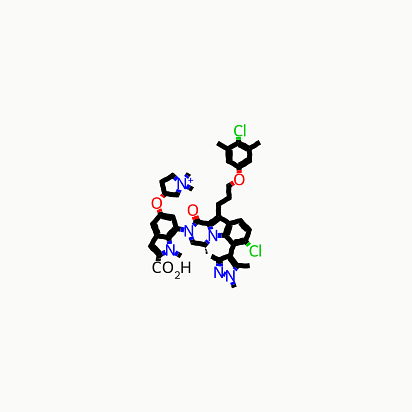 Cc1cc(OCCCc2c3n(c4c(-c5c(C)nn(C)c5C)c(Cl)ccc24)[C@H](C)CN(c2cc(OC4CC[N+](C)(C)C4)cc4cc(C(=O)O)n(C)c24)C3=O)cc(C)c1Cl